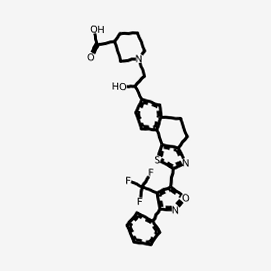 O=C(O)C1CCCN(CC(O)c2ccc3c(c2)CCc2nc(-c4onc(-c5ccccc5)c4C(F)(F)F)sc2-3)C1